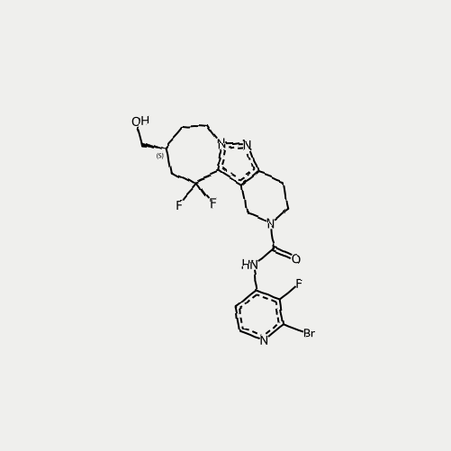 O=C(Nc1ccnc(Br)c1F)N1CCc2nn3c(c2C1)C(F)(F)C[C@@H](CO)CC3